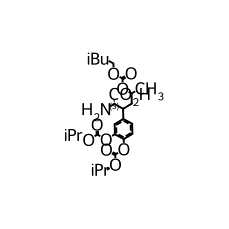 CCC(C)COC(=O)OC(C)CC(c1ccc(OC(=O)OC(C)C)c(OC(=O)OC(C)C)c1)[C@H](N)C(=O)O